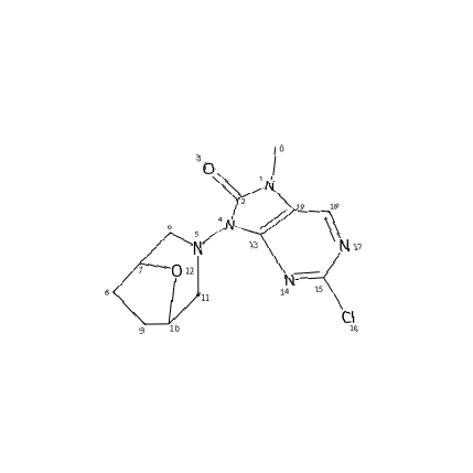 Cn1c(=O)n(N2CC3CCC(C2)O3)c2nc(Cl)ncc21